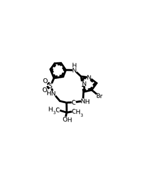 CC(C)(O)C1CNc2nc(ncc2Br)Nc2cccc(c2)S(=O)(=O)NC1